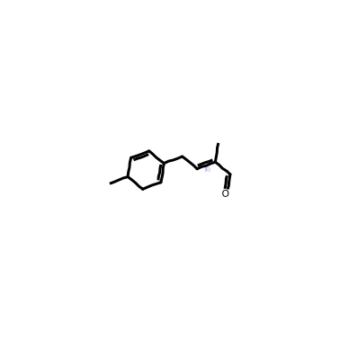 C/C(C=O)=C\CC1=CCC(C)C=C1